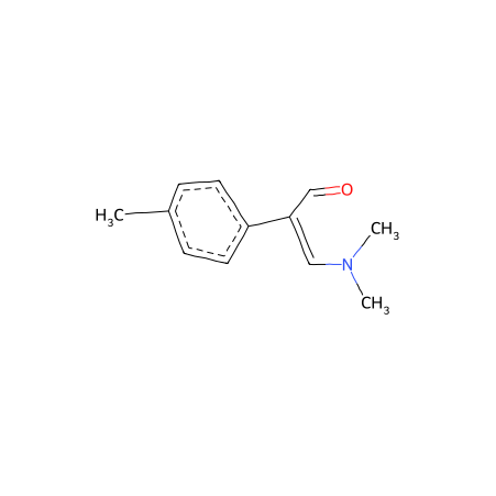 Cc1ccc(C(C=O)=CN(C)C)cc1